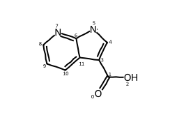 O=C(O)C1=C[N]c2ncccc21